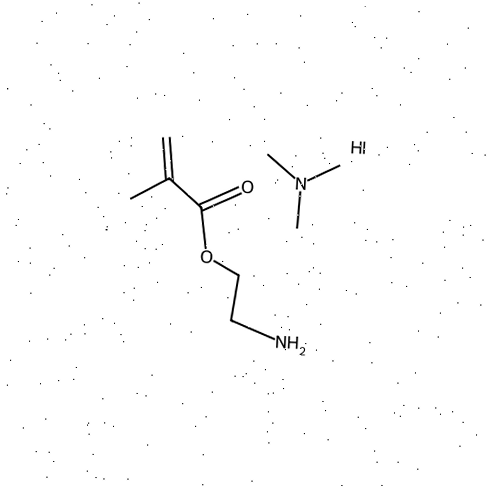 C=C(C)C(=O)OCCN.CN(C)C.I